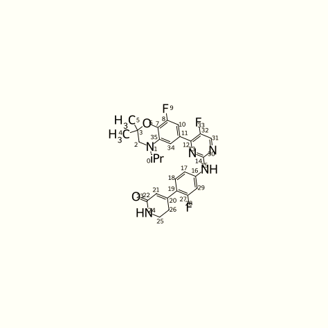 CC(C)N1CC(C)(C)Oc2c(F)cc(-c3nc(Nc4ccc(C5=CC(=O)NCC5)c(F)c4)ncc3F)cc21